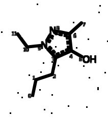 CCCc1c(O)c(C)nn1CC